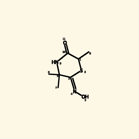 CC1SC(=NO)C(C)(C)NC1=O